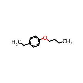 [CH2]Cc1ccc(OCCCC)cc1